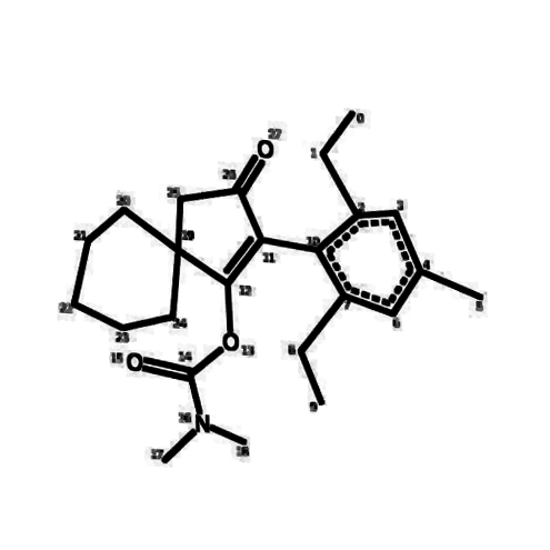 CCc1cc(C)cc(CC)c1C1=C(OC(=O)N(C)C)C2(CCCCC2)CC1=O